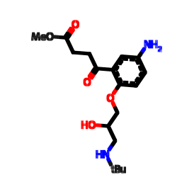 COC(=O)CCC(=O)c1cc(N)ccc1OCC(O)CNC(C)(C)C